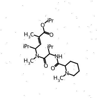 C/C(=C\C(C(C)C)N(C)C(=O)C(NC(=O)C1CCCCN1C)C(C)C)C(=O)OC(C)C